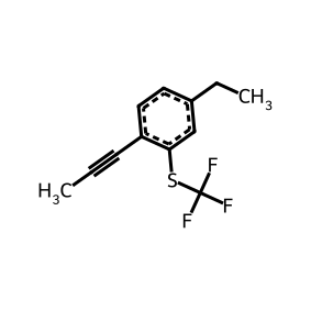 CC#Cc1ccc(CC)cc1SC(F)(F)F